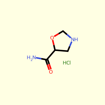 Cl.NC(=O)C1CNCO1